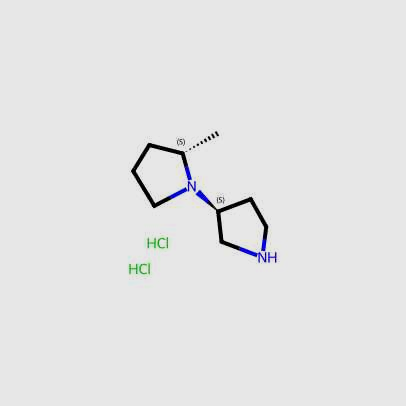 C[C@H]1CCCN1[C@H]1CCNC1.Cl.Cl